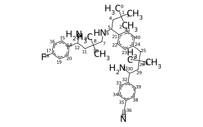 CC(C)(C)CC(NCC(C)(C)CC(N)c1ccc(F)cc1)c1ccc(CC(C)(C)CC(N)c2ccc(C#N)cc2)cc1